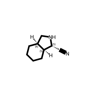 N#C[C@H]1NC[C@@H]2CCCC[C@@H]21